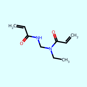 C=CC(=O)NCN(CC)C(=O)C=C